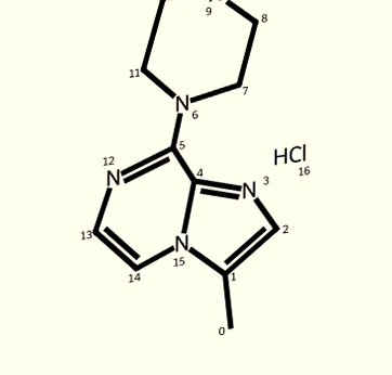 Cc1cnc2c(N3CCNCC3)nccn12.Cl